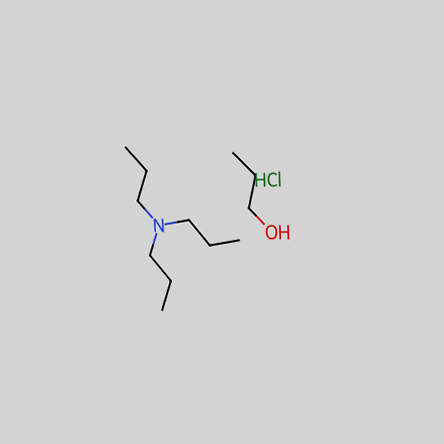 CCCN(CCC)CCC.CCCO.Cl